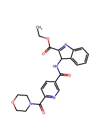 CCOC(=O)C1=Nc2ccccc2C1NC(=O)c1ccc(C(=O)N2CCOCC2)nc1